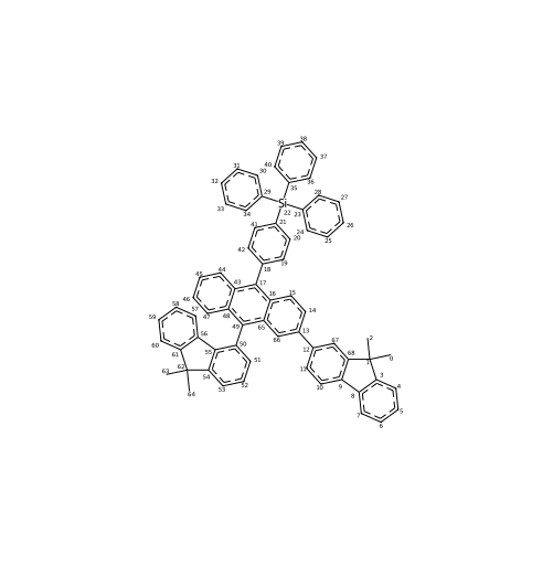 CC1(C)c2ccccc2-c2ccc(-c3ccc4c(-c5ccc([Si](c6ccccc6)(c6ccccc6)c6ccccc6)cc5)c5ccccc5c(-c5cccc6c5-c5ccccc5C6(C)C)c4c3)cc21